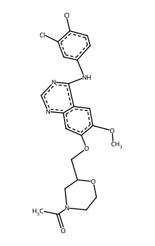 COc1cc2c(Nc3ccc(Cl)c(Cl)c3)ncnc2cc1OCC1CN(C(C)=O)CCO1